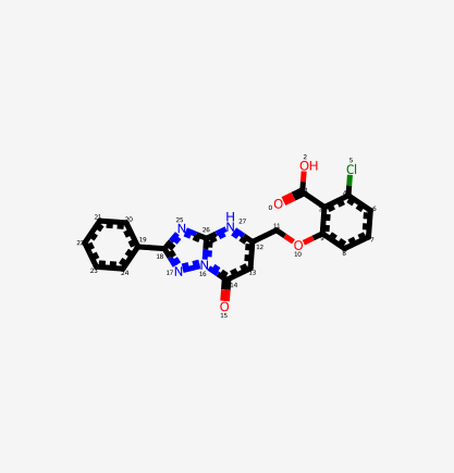 O=C(O)c1c(Cl)cccc1OCc1cc(=O)n2nc(-c3ccccc3)nc2[nH]1